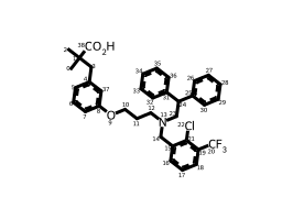 CC(C)(Cc1cccc(OCCCN(Cc2cccc(C(F)(F)F)c2Cl)CC(c2ccccc2)c2ccccc2)c1)C(=O)O